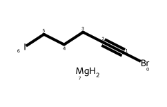 BrC#CCCCI.[MgH2]